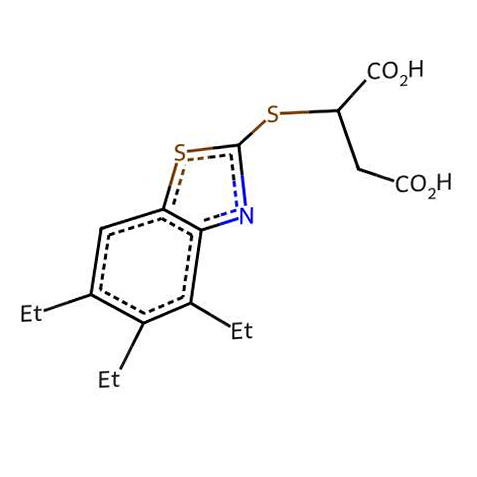 CCc1cc2sc(SC(CC(=O)O)C(=O)O)nc2c(CC)c1CC